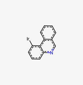 [Ir][c]1cccc2ncc3ccccc3c12